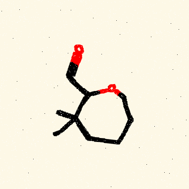 CC1(C)CCCCOC1C=O